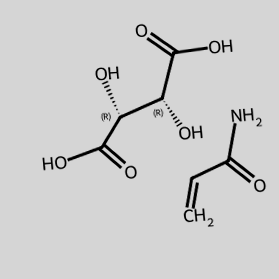 C=CC(N)=O.O=C(O)[C@H](O)[C@@H](O)C(=O)O